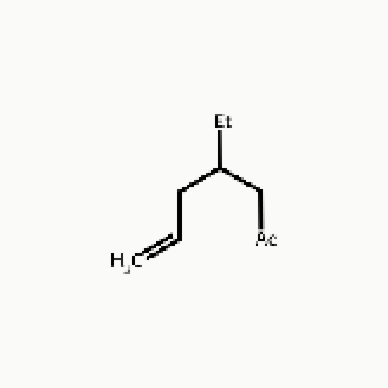 C=CCC(CC)CC(C)=O